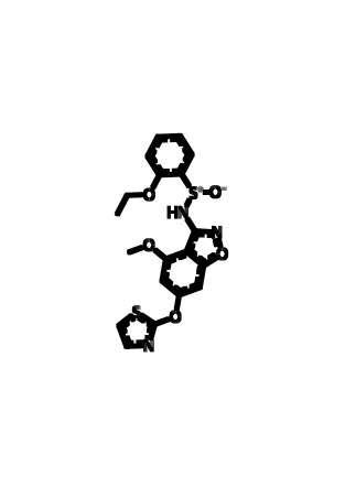 CCOc1ccccc1[S+]([O-])Nc1noc2cc(Oc3nccs3)cc(OC)c12